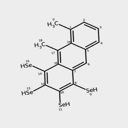 Cc1cccc2cc3c([SeH])c([SeH])c([SeH])c([SeH])c3c(C)c12